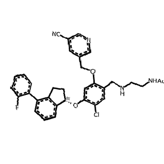 CC(=O)NCCNCc1cc(Cl)c(O[C@H]2CCc3c(-c4ccccc4F)cccc32)cc1OCc1cncc(C#N)c1